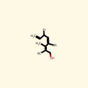 C=CC(/C=C(\C(C)=C(\C#N)CO)C(C)C)CC